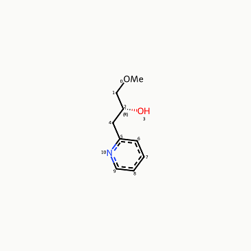 COC[C@H](O)Cc1ccccn1